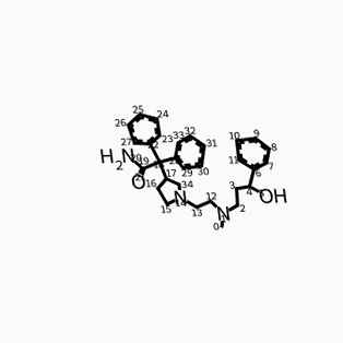 CN(CCC(O)c1ccccc1)CCN1CCC(C(C(N)=O)(c2ccccc2)c2ccccc2)C1